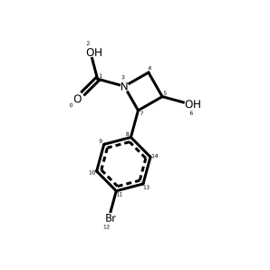 O=C(O)N1CC(O)C1c1ccc(Br)cc1